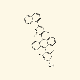 Cc1cc(O)cc(C)c1-c1c2ccccc2c(-c2c(C)cc(-c3cccc4ccccc34)cc2C)c2ccccc12